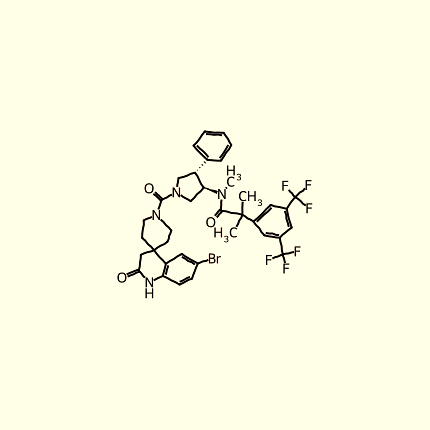 CN(C(=O)C(C)(C)c1cc(C(F)(F)F)cc(C(F)(F)F)c1)[C@H]1CN(C(=O)N2CCC3(CC2)CC(=O)Nc2ccc(Br)cc23)C[C@@H]1c1ccccc1